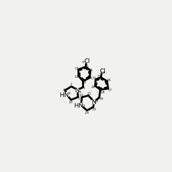 Clc1ccc(CN2CCNCC2)cc1.Clc1ccc(CN2CCNCC2)cc1